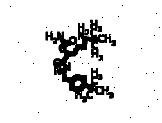 CC(C)(C)c1ccc(Cc2noc(C(CCCC(N)C(C)(C)C)OC(N)=O)n2)cc1